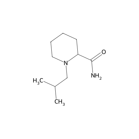 CC(C)CN1CCCCC1C(N)=O